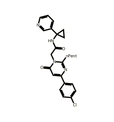 CCCCCc1nc(-c2ccc(Cl)cc2)cc(=O)n1CC(=O)NC1(c2cccnc2)CC1